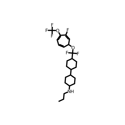 CCCNC1CCC(C2CCC(C(F)(F)OC3C=CC=C(OC(F)(F)F)C(F)=C3)CC2)CC1